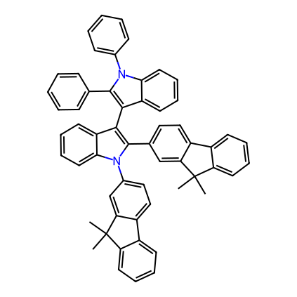 CC1(C)c2ccccc2-c2ccc(-c3c(-c4c(-c5ccccc5)n(-c5ccccc5)c5ccccc45)c4ccccc4n3-c3ccc4c(c3)C(C)(C)c3ccccc3-4)cc21